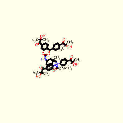 COC(=O)[N+](CC1(C)CC(NC(=O)OC(c2ccc(C(=O)C(C)(C)O)cc2)c2ccc(C(=O)C(C)(C)O)cc2)CC(C)(C)C1)(c1ccc(C(=O)C(C)(C)O)cc1)c1ccc(C(=O)C(C)(C)O)cc1